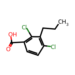 CCCc1c(Cl)ccc(C(=O)O)c1Cl